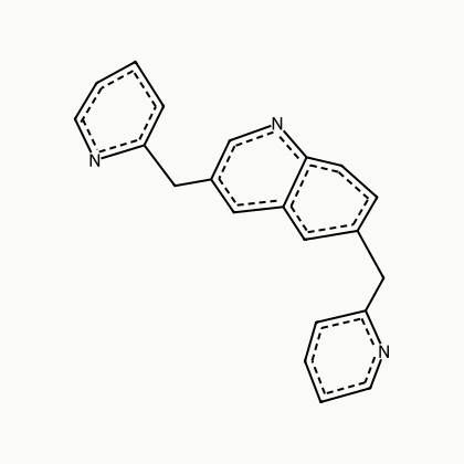 c1ccc(Cc2ccc3ncc(Cc4ccccn4)cc3c2)nc1